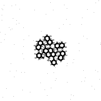 Fc1ccccc1-c1cc(B(c2cccc3ccccc23)c2cccc3ccccc23)c2ccc3c(B(c4cccc5ccccc45)c4cccc5ccccc45)cc(-c4ccccc4F)c4ccc1c2c34